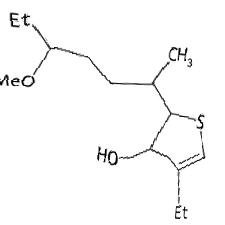 CCC1=CSC(C(C)CCC(CC)OC)C1O